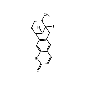 CN1CC[C@]23CCCC[C@H]2[C@H]1Cc1cc2ccc(=O)[nH]c2cc13